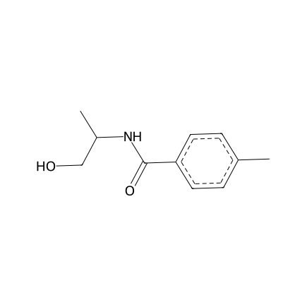 Cc1ccc(C(=O)NC(C)CO)cc1